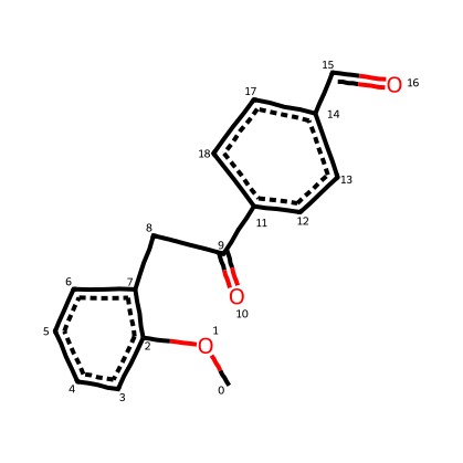 COc1ccccc1CC(=O)c1ccc(C=O)cc1